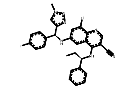 CC[C@@H](Nc1c(C#N)cnc2c(Cl)cc(N[C@@H](c3ccc(F)cc3)c3cn(C)nn3)cc12)c1ccccc1